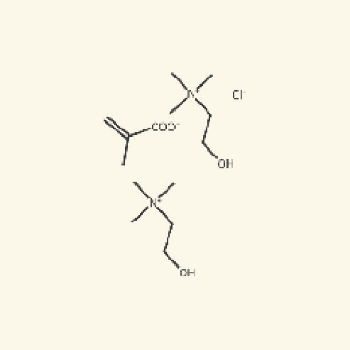 C=C(C)C(=O)[O-].C[N+](C)(C)CCO.C[N+](C)(C)CCO.[Cl-]